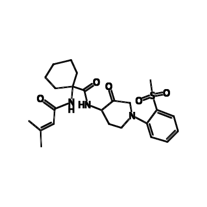 CC(C)=CC(=O)NC1(C(=O)NC2CCN(c3ccccc3S(C)(=O)=O)CC2=O)CCCCC1